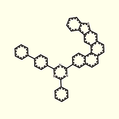 c1ccc(-c2ccc(-c3nc(-c4ccccc4)nc(-c4ccc5c(ccc6ccc7cc8sc9ccccc9c8cc7c65)c4)n3)cc2)cc1